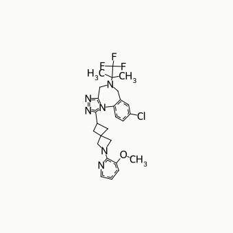 COc1cccnc1N1CC2(CC(c3nnc4n3-c3ccc(Cl)cc3CN(C(C)(C)C(F)(F)F)C4)C2)C1